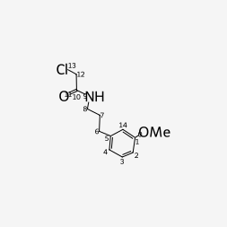 COc1cccc(CCCNC(=O)CCl)c1